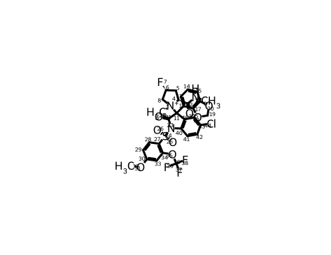 CNC(=O)[C@@H]1C[C@@H](F)C[N+]1(C)C1(c2cccc3c2OCO3)C(=O)N(S(=O)(=O)c2ccc(OC)cc2OC(F)(F)F)c2ccc(Cl)cc21